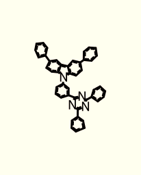 c1ccc(-c2ccc3c(c2)c2cc(-c4ccccc4)ccc2n3-c2cccc(-c3nc(-c4ccccc4)nc(-c4ccccc4)n3)c2)cc1